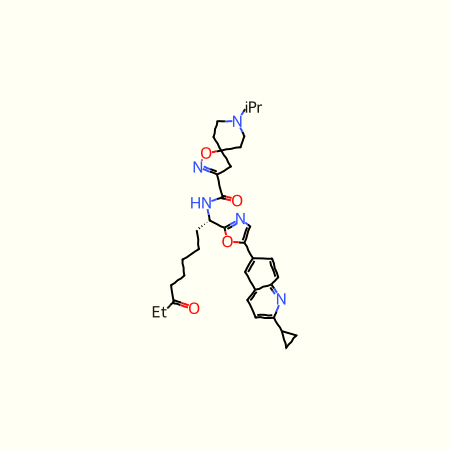 CCC(=O)CCCCC[C@H](NC(=O)C1=NOC2(CCN(C(C)C)CC2)C1)c1ncc(-c2ccc3nc(C4CC4)ccc3c2)o1